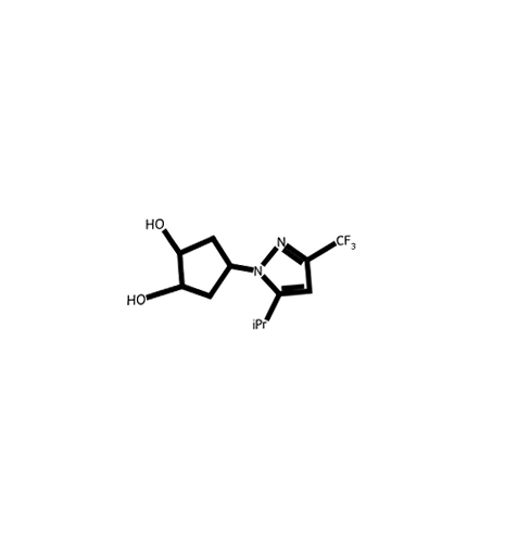 CC(C)c1cc(C(F)(F)F)nn1C1CC(O)C(O)C1